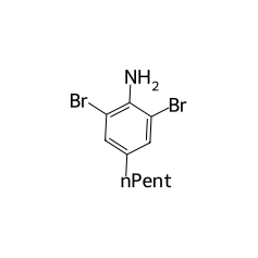 CCCCCc1cc(Br)c(N)c(Br)c1